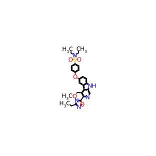 CCc1noc(-c2ncc3[nH]c4ccc(Oc5ccc(S(=O)(=O)N(CC)CC)cc5)cc4c3c2COC)n1